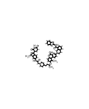 Cc1c(OC(C)CCC2CCN(CC(=O)Nc3ccc4c(C5CCC(=O)NC5=O)nn(C)c4c3)CC2)cccc1-c1ccc(N2CCc3cccc(C(=O)Nc4nc5ccccc5s4)c3C2)nc1C(=O)O